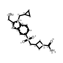 CC(C)(C)Cc1nc2cc(S(=O)(=O)CC3CN(C(N)=O)C3)ccc2n1CC1CC1